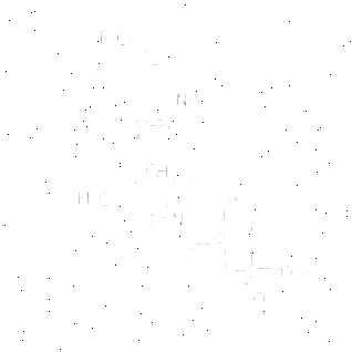 CC(C)(Cc1cncc(C(F)(F)F)c1)CN1CCC2(C1)CS(=O)(=O)C2